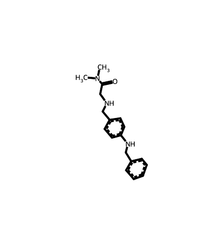 CN(C)C(=O)CNCc1ccc(NCc2ccccc2)cc1